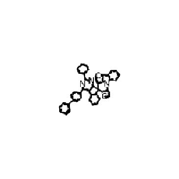 c1cccc(-c2ccc(-c3nc(-c4ccccc4)nc4c3-c3ccccc3C43c4ccccc4-n4c5ccccc5c5cccc3c54)cc2)c#1